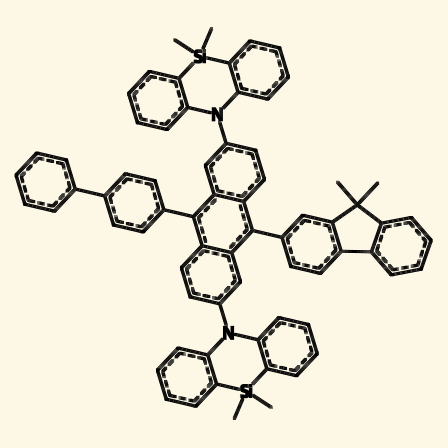 CC1(C)c2ccccc2-c2ccc(-c3c4ccc(N5c6ccccc6[Si](C)(C)c6ccccc65)cc4c(-c4ccc(-c5ccccc5)cc4)c4ccc(N5c6ccccc6[Si](C)(C)c6ccccc65)cc34)cc21